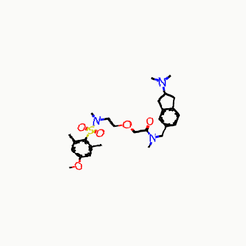 COc1cc(C)c(S(=O)(=O)N(C)CCOCC(=O)N(C)Cc2ccc3c(c2)CC(N(C)C)C3)c(C)c1